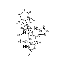 Cc1cc(Nc2nc(N[C@@H]3C[C@H]4CCC[C@@H](C3)N4C(=O)CN3CCOCC3)nc3ccsc23)n[nH]1